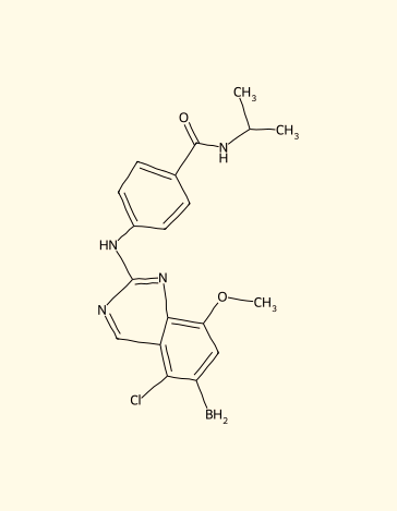 Bc1cc(OC)c2nc(Nc3ccc(C(=O)NC(C)C)cc3)ncc2c1Cl